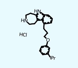 CC(C)c1cccc(OCCCc2cccc3[nH]c4c(c23)CCNCC4)c1.Cl